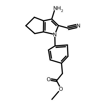 COC(=O)Cc1ccc(-n2c(C#N)c(N)c3c2CCC3)cc1